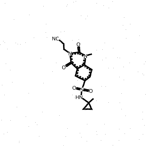 Cn1c(=O)n(CCC#N)c(=O)c2cc(S(=O)(=O)NC3(C)CC3)ccc21